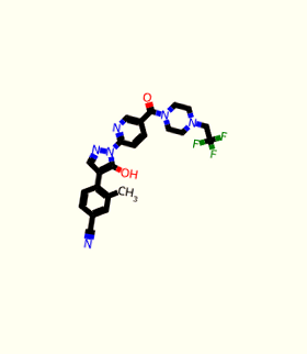 Cc1cc(C#N)ccc1-c1cnn(-c2ccc(C(=O)N3CCN(CC(F)(F)F)CC3)cn2)c1O